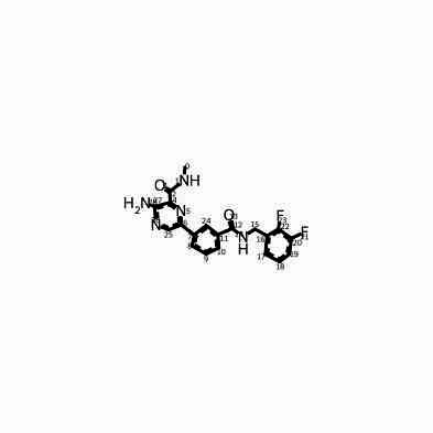 CNC(=O)c1nc(-c2cccc(C(=O)NCc3cccc(F)c3F)c2)cnc1N